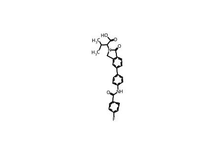 CC(C)C(C(=O)O)N1Cc2cc(-c3ccc(NC(=O)c4ccc(F)cc4)cc3)ccc2C1=O